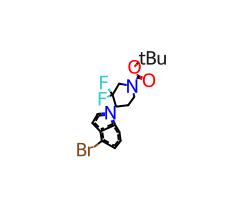 CC(C)(C)OC(=O)N1CCC(n2ccc3c(Br)cccc32)C(F)(F)C1